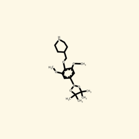 COc1cc(B2OC(C)(C)C(C)(C)O2)cc(OC)c1OCC1CCNCC1